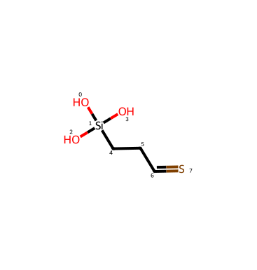 O[Si](O)(O)CCC=S